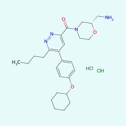 CCCCc1nnc(C(=O)N2CCO[C@@H](CN)C2)cc1-c1ccc(OC2CCCCC2)cc1.Cl.Cl